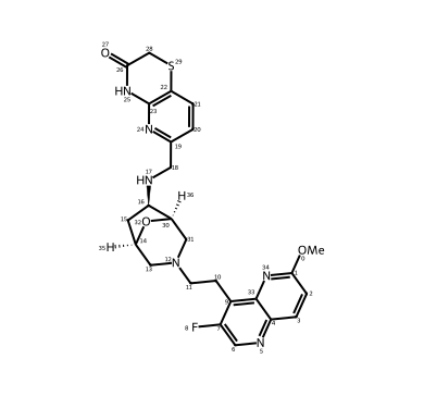 COc1ccc2ncc(F)c(CCN3C[C@H]4C[C@@H](NCc5ccc6c(n5)NC(=O)CS6)[C@@H](C3)O4)c2n1